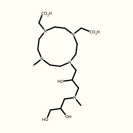 CN(CC(O)CO)CC(O)CN1CCN(I)CCN(CC(=O)O)CCN(CC(=O)O)CC1